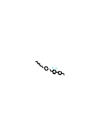 CCCCCCC[C@H]1CC[C@H](CCc2ccc(-c3ccc(CC)cc3)c(F)c2F)CC1